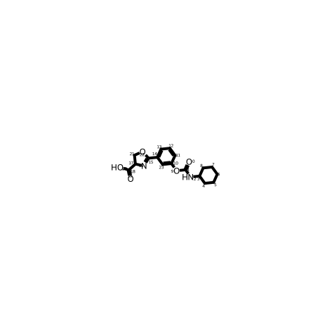 O=C(NC1CCCCC1)Oc1cccc(C2=NC(C(=O)O)CO2)c1